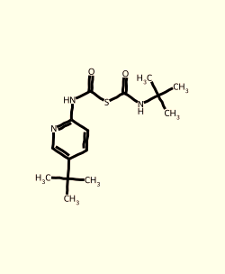 CC(C)(C)NC(=O)SC(=O)Nc1ccc(C(C)(C)C)cn1